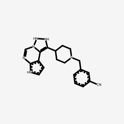 N#Cc1cccc(CN2CCC(C3=C4c5cc[nH]c5N=CN4NN3)CC2)c1